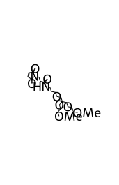 COCCOCC(COCCCNC(=O)CCN1C(=O)C=CC1=O)OCCOC